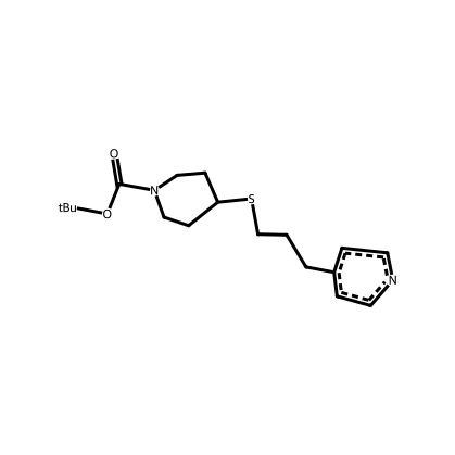 CC(C)(C)OC(=O)N1CCC(SCCCc2ccncc2)CC1